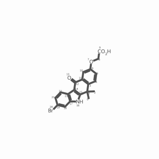 CC1(C)c2ccc(OCC(=O)O)cc2C(=O)c2c1[nH]c1cc(Br)ccc21